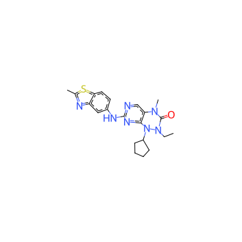 CCN1C(=O)N(C)c2cnc(Nc3ccc4sc(C)nc4c3)nc2N1C1CCCC1